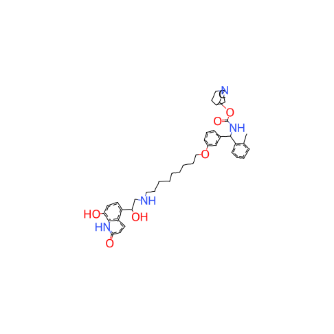 Cc1ccccc1C(NC(=O)OC1CN2CCC1CC2)c1cccc(OCCCCCCCCCNCC(O)c2ccc(O)c3[nH]c(=O)ccc23)c1